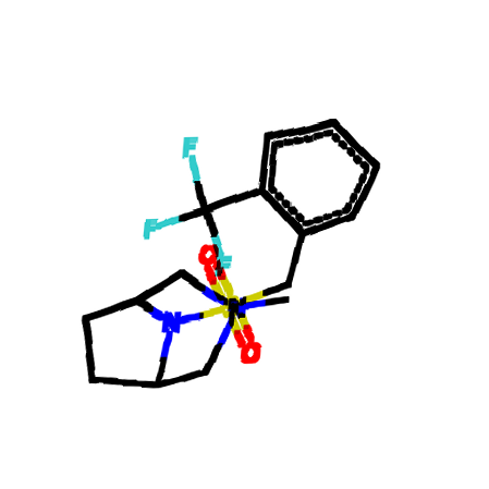 CN1CC2CCC(C1)N2S(=O)(=O)Cc1ccccc1C(F)(F)F